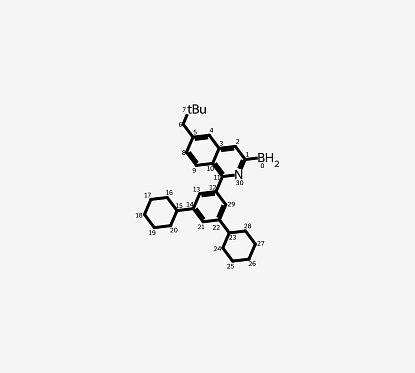 Bc1cc2cc(CC(C)(C)C)ccc2c(-c2cc(C3CCCCC3)cc(C3CCCCC3)c2)n1